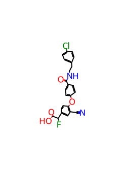 N#Cc1cc(C(F)C(=O)O)ccc1Oc1ccc(C(=O)NCCc2ccc(Cl)cc2)cc1